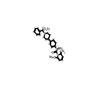 C=C1C=CC=C(OC)N1C(=O)N(N)c1ccc(C2CCN(C(C(=O)OCC)c3ccccc3)CC2)cc1